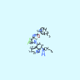 CNc1ccc(N2C[C@H](NC(=O)CN(C)C)CC(F)(F)C2)c2cccnc12